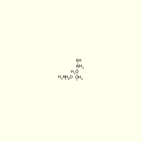 O.O.O.[AlH3].[AlH3].[KH]